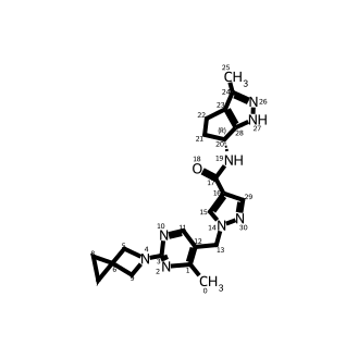 Cc1nc(N2CC3(CC3)C2)ncc1Cn1cc(C(=O)N[C@@H]2CCc3c(C)n[nH]c32)cn1